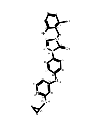 O=c1n(Cc2c(F)cccc2F)cnn1-c1ccc(Oc2ccnc(NC3CC3)c2)cc1